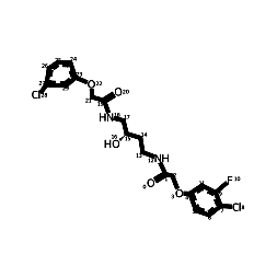 O=C(COc1ccc(Cl)c(F)c1)NCC[C@H](O)CNC(=O)COc1cccc(Cl)c1